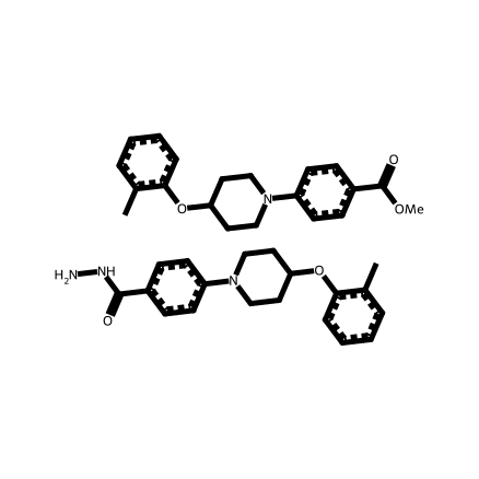 COC(=O)c1ccc(N2CCC(Oc3ccccc3C)CC2)cc1.Cc1ccccc1OC1CCN(c2ccc(C(=O)NN)cc2)CC1